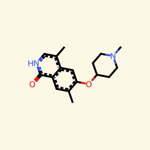 Cc1cc2c(=O)[nH]cc(C)c2cc1OC1CCN(C)CC1